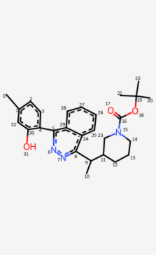 Cc1ccc(-c2nnc(C(C)C3CCCN(C(=O)OC(C)(C)C)C3)c3ccccc23)c(O)c1